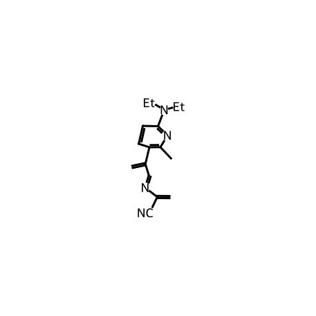 C=C(C#N)/N=C/C(=C)c1ccc(N(CC)CC)nc1C